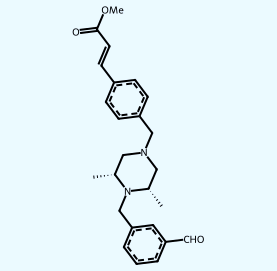 COC(=O)/C=C/c1ccc(CN2C[C@@H](C)N(Cc3cccc(C=O)c3)[C@@H](C)C2)cc1